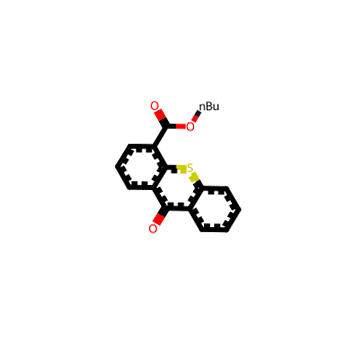 CCCCOC(=O)c1cccc2c(=O)c3ccccc3sc12